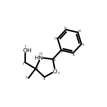 CC1(CO)COC(c2ccccc2)N1